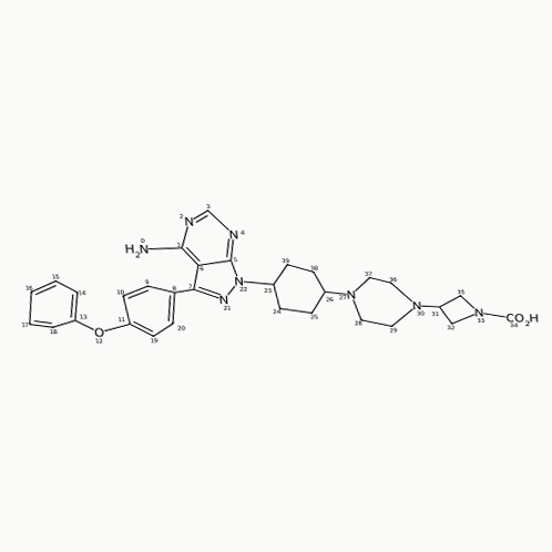 Nc1ncnc2c1c(-c1ccc(Oc3ccccc3)cc1)nn2C1CCC(N2CCN(C3CN(C(=O)O)C3)CC2)CC1